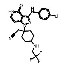 N#CCC1(n2nc(Nc3ccc(Cl)cc3)c3c(=O)[nH]ccc32)CCC(NCC(F)(F)F)CC1